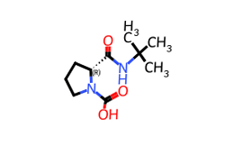 CC(C)(C)NC(=O)[C@H]1CCCN1C(=O)O